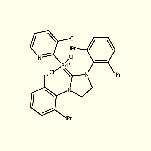 CC(C)c1cccc(C(C)C)c1N1CCN(c2c(C(C)C)cccc2C(C)C)[C]1=[Pd-3]([Cl])([Cl])[c]1ncccc1Cl